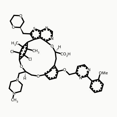 COc1ccccc1-c1nccc(COc2ccc3cc2C[C@H](C(=O)O)Oc2ncnc4sc(C[C@@H]5COCCO5)c(c24)-c2c(C)c(Cl)c(c(Cl)c2C)O[C@H](CN2CCN(C)CC2)CO3)n1